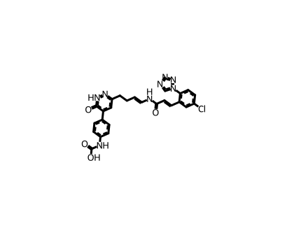 O=C(O)Nc1ccc(-c2cc(CCC=CNC(=O)C=Cc3cc(Cl)ccc3-n3cnnn3)n[nH]c2=O)cc1